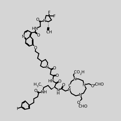 C#C[C@H]1CC(F)(F)CN1C(=O)CNC(=O)c1ccnc2ccc(OCCCC3CCN(C(=O)CC(=O)NC(=O)[C@H](CC[C@@H](C)NC(=O)CCCc4ccc(I)cc4)NC(=O)CN4CCN(COC=O)CCN(COC=O)CCN(CC(=O)O)CC4)CC3)cc12